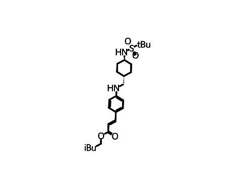 CCC(C)COC(=O)/C=C/c1ccc(NC[C@H]2CC[C@H](NS(=O)(=O)C(C)(C)C)CC2)cc1